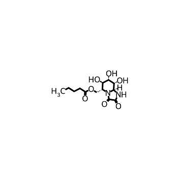 CCCCC(=O)OC[C@@H]1[C@@H](O)[C@H](O)[C@H](O)[C@H]2NC(=O)C(=O)N12